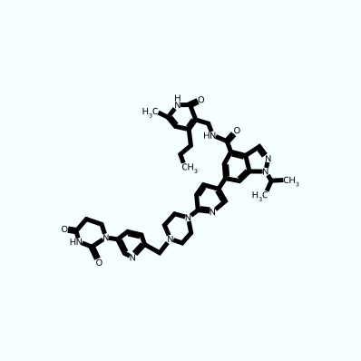 CCCc1cc(C)[nH]c(=O)c1CNC(=O)c1cc(-c2ccc(N3CCN(Cc4ccc(N5CCC(=O)NC5=O)cn4)CC3)nc2)cc2c1cnn2C(C)C